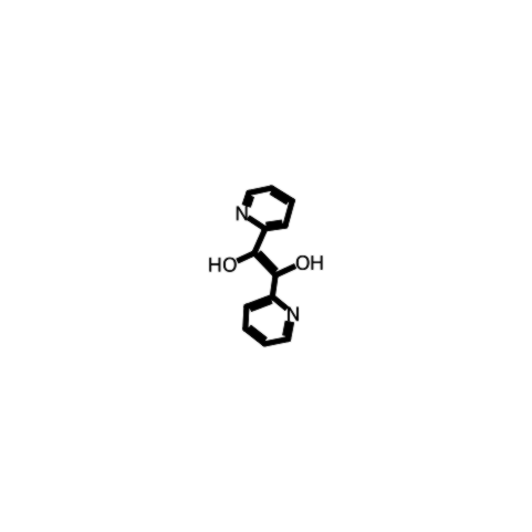 O/C(=C(/O)c1ccccn1)c1ccccn1